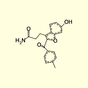 Cc1ccc(C(=O)c2oc3cc(O)ccc3c2CCC(N)=O)cc1